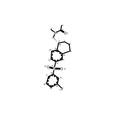 CC(=O)N(C)C[C@@H]1CCCc2cc(S(=O)(=O)c3cccc(F)c3)ccc21